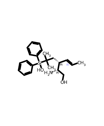 C/C=C/[C@@H](CC(C)(C)[Si](O)(c1ccccc1)c1ccccc1)[C@@H](N)CO